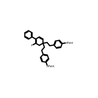 CCCCCc1ccc(CCC2(CCc3ccc(CCCCC)cc3)C=CC(c3ccccc3)=C(F)C2)cc1